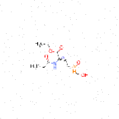 CCOC(=O)/C(=C/C[PH](=O)CO)NC(=O)CC